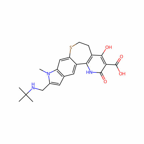 Cn1c(CNC(C)(C)C)cc2cc3c(cc21)SCCc1c-3[nH]c(=O)c(C(=O)O)c1O